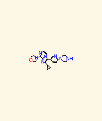 c1cn2c(-c3ccc(N4CCNCC4)nc3)c(C3CC3)nc2c(N2CCOCC2)n1